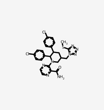 CSc1nnnn1CC1CC(c2ccc(Cl)cc2)C(c2ccc(Cl)cc2)N(c2nccnc2C(N)=O)C1